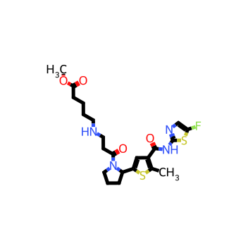 COC(=O)CCCCNCCC(=O)N1CCCC1c1cc(C(=O)Nc2ncc(F)s2)c(C)s1